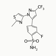 Cc1nc(-n2nc(C(F)(F)F)cc2-c2ccc(S(N)(=O)=O)c(F)c2)cs1